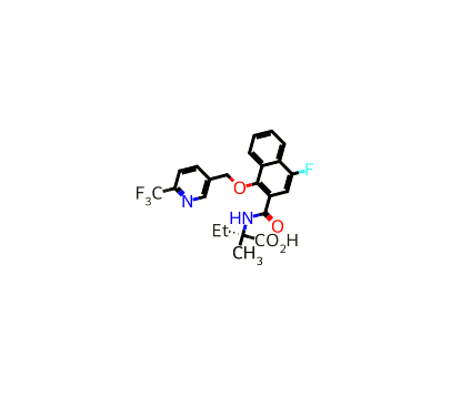 CC[C@](C)(NC(=O)c1cc(F)c2ccccc2c1OCc1ccc(C(F)(F)F)nc1)C(=O)O